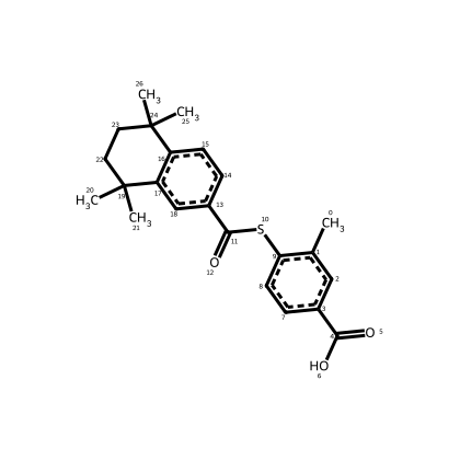 Cc1cc(C(=O)O)ccc1SC(=O)c1ccc2c(c1)C(C)(C)CCC2(C)C